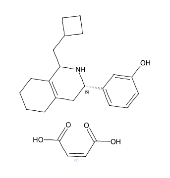 O=C(O)/C=C\C(=O)O.Oc1cccc([C@@H]2CC3=C(CCCC3)C(CC3CCC3)N2)c1